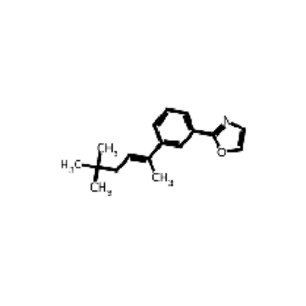 C/C(=C\CC(C)(C)C)c1cccc(-c2ncco2)c1